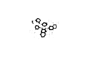 Cc1cc2c3c(c1)N(c1cccc4c1OCCO4)c1ccc(C(C)(C)C)cc1B3c1cc3c(cc1N2c1ccc2c(c1)C(C)(C)CCC2(C)C)C(C)(C)CCC3(C)C